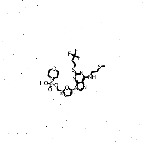 CSCCNc1nc(SCCC(F)(F)F)nc2c1ncn2[C@H]1CC[C@@H](COP(=O)(O)N2CCOCC2)O1